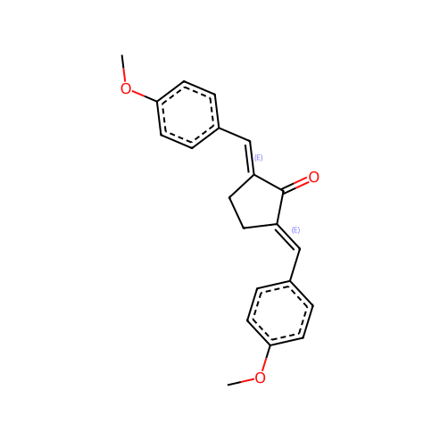 COc1ccc(/C=C2\CC/C(=C\c3ccc(OC)cc3)C2=O)cc1